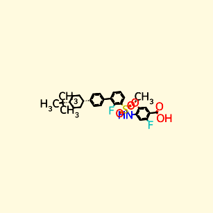 COc1cc(C(=O)O)c(F)cc1NS(=O)(=O)c1cccc(-c2ccc([C@H]3CC[C@@H](C(C)(C)C)CC3)cc2)c1F